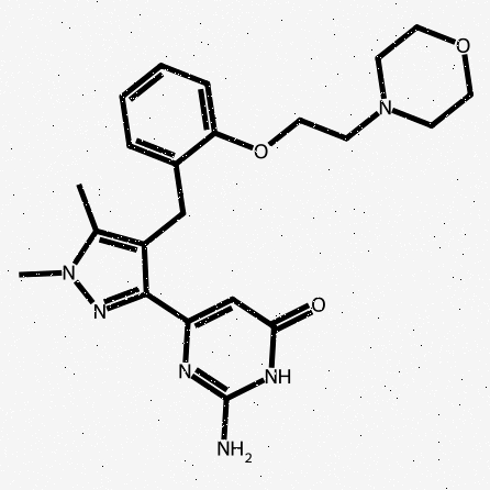 Cc1c(Cc2ccccc2OCCN2CCOCC2)c(-c2cc(=O)[nH]c(N)n2)nn1C